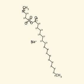 CCCCCCCCCCCCCCCCCC(=O)OS(=O)(=O)CC[N-]C.[Na+]